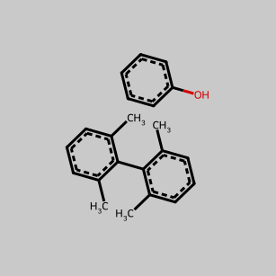 Cc1cccc(C)c1-c1c(C)cccc1C.Oc1ccccc1